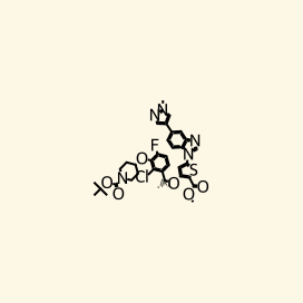 COC(=O)c1sc(-n2cnc3cc(-c4cnn(C)c4)ccc32)cc1O[C@H](C)c1ccc(F)c(OC2CCN(C(=O)OC(C)(C)C)CC2)c1Cl